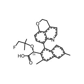 Cc1ccc2c(-c3ccc4c5c(ccnc35)CCO4)c([C@H](OC(C)(C)CF)C(=O)O)c(C)cc2c1